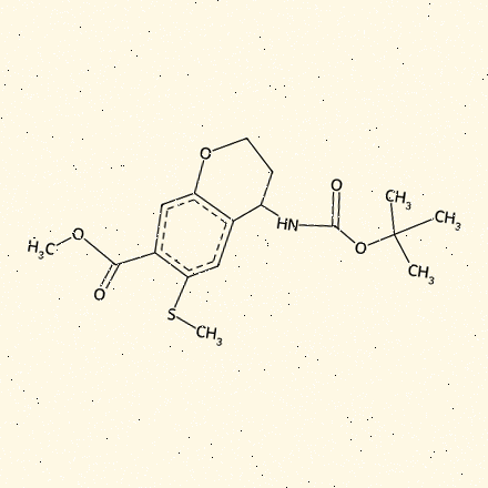 COC(=O)c1cc2c(cc1SC)C(NC(=O)OC(C)(C)C)CCO2